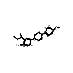 CCC(C)c1cc(C2C=CC(c3ccc(O)cc3)CC2)ccc1O